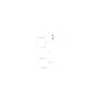 COc1ccccc1Nc1ncnc2sc3c(c12)CCCC3